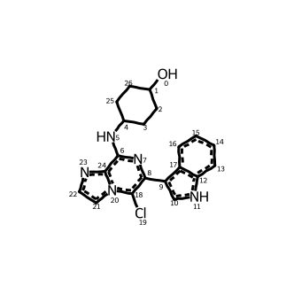 OC1CCC(Nc2nc(-c3c[nH]c4ccccc34)c(Cl)n3ccnc23)CC1